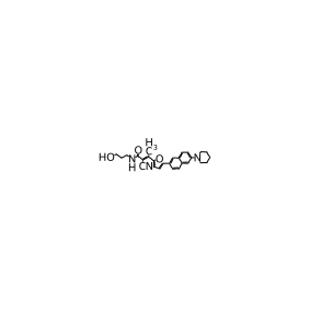 C/C(=C(/C#N)C(=O)NCCCO)c1ccc(-c2ccc3cc(N4CCCCC4)ccc3c2)o1